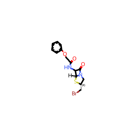 O=C(COc1ccccc1)NC1C(=O)N2C[C@H](CBr)S[C@H]12